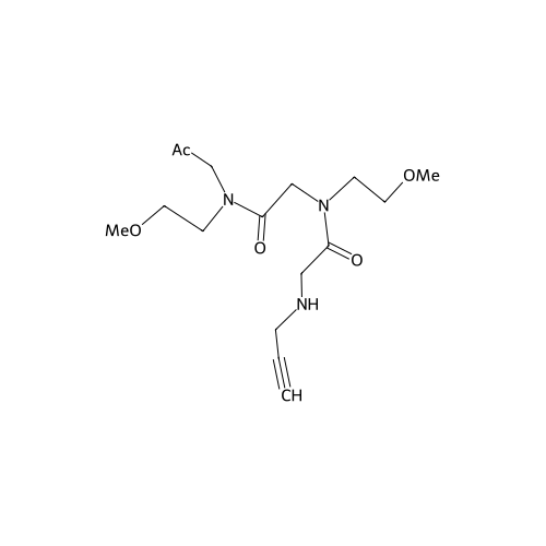 C#CCNCC(=O)N(CCOC)CC(=O)N(CCOC)CC(C)=O